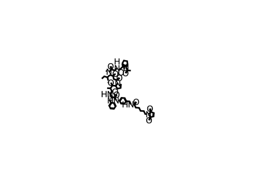 CCC(C)C(C(CC(=O)N1CCCC1C(OC)C(C)C(=O)N[C@@H](Cc1ccccc1)C(=O)Nc1ccc(CNC(=O)CCCCCN2C(=O)C=CC2=O)cc1)OC)N(C)C(=O)CNC(=O)C1C2CCC(C2C)N1C(C)=O